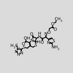 CCOC(=O)CON=C(C(=O)NC1C(=O)N2C(C(=O)O)=C(CSc3nnnn3C)CS[C@@H]12)c1csc(N)n1